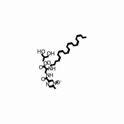 CC/C=C\C/C=C\C/C=C\C/C=C\C/C=C\C/C=C\CCC(=O)NC(CNC(=O)c1c[n+]([O-])c(C)cn1)C(=O)OCC(CO)CO